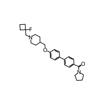 O=C(c1ccc(-c2ccc(OCC3CCN(CC4(F)CCC4)CC3)cc2)cc1)N1CCCC1